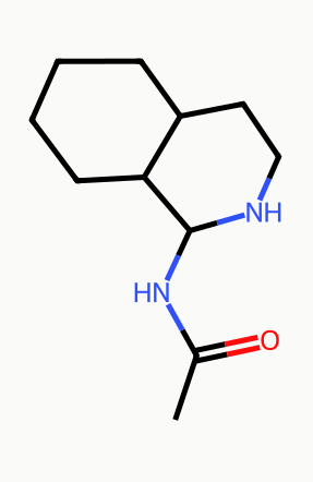 CC(=O)NC1NCCC2CCCCC21